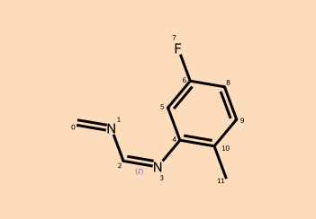 C=N/C=N\c1cc(F)ccc1C